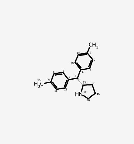 Cc1ccc(C(c2ccc(C)cc2)[C@@H]2CCCN2)cc1